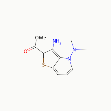 COC(=O)C1SC2=CC=CN(N(C)C)C2=C1N